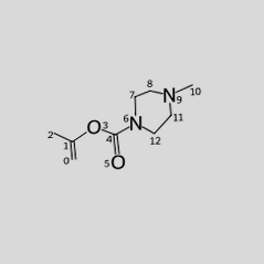 C=C(C)OC(=O)N1CCN(C)CC1